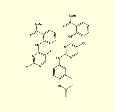 CNC(=O)c1ccccc1Nc1nc(Cl)ncc1Cl.CNC(=O)c1ccccc1Nc1nc(Nc2ccc3c(c2)CCC(=O)N3)ncc1Cl